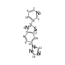 c1cncc(-c2nc3ccc(-n4cncn4)cc3s2)c1